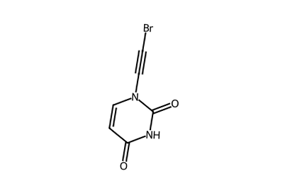 O=c1ccn(C#CBr)c(=O)[nH]1